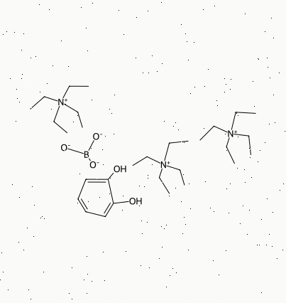 CC[N+](CC)(CC)CC.CC[N+](CC)(CC)CC.CC[N+](CC)(CC)CC.Oc1ccccc1O.[O-]B([O-])[O-]